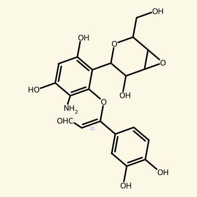 Nc1c(O)cc(O)c(C2OC(CO)C3OC3C2O)c1O/C(=C\C=O)c1ccc(O)c(O)c1